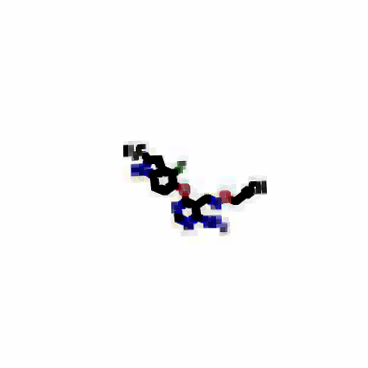 C#CCON=Cc1c(N)ncnc1Oc1ccc2[nH]c(C)cc2c1F